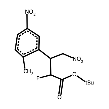 Cc1ccc([N+](=O)[O-])cc1C(C[N+](=O)[O-])C(F)C(=O)OC(C)(C)C